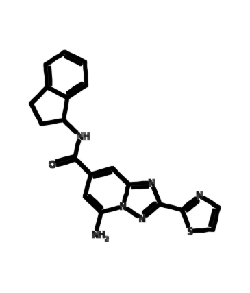 Nc1cc(C(=O)NC2CCc3ccccc32)cc2nc(-c3nccs3)nn12